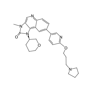 Cn1c(=O)n([C@@H]2CCCOC2)c2c3cc(-c4ccc(OCCCN5CCCC5)nc4)ccc3ncc21